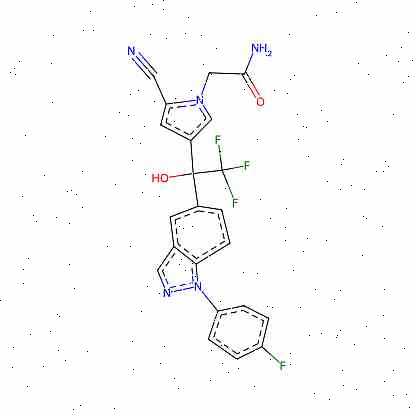 N#Cc1cc(C(O)(c2ccc3c(cnn3-c3ccc(F)cc3)c2)C(F)(F)F)cn1CC(N)=O